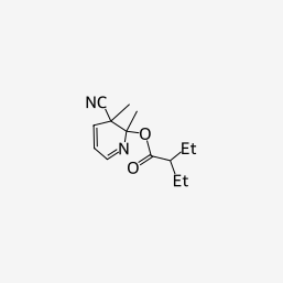 CCC(CC)C(=O)OC1(C)N=CC=CC1(C)C#N